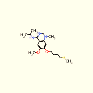 COc1cc2c(cc1OCCCCSC)N(C)CN=C2NC(C)C